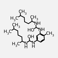 Cc1ccc(NC(O)NC(C)CCCC(C)C)cc1NC(O)NC(C)CCCC(C)C